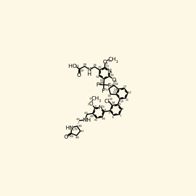 COc1nc(-c2cccc(-c3cccc4c3CC[C@@H]4Oc3nc(OC)c(CNCC(=O)O)cc3C(F)(F)F)c2Cl)ccc1CNC[C@@H]1CCC(=O)N1